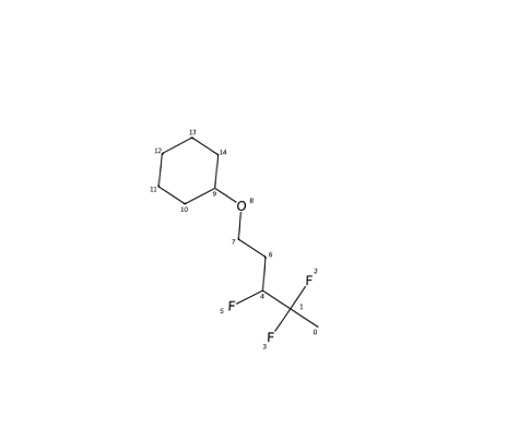 CC(F)(F)C(F)CCOC1CCCCC1